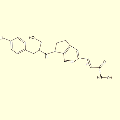 O=C(/C=C/c1ccc2c(c1)CCC2NC(CO)Cc1ccc(Cl)cc1)NO